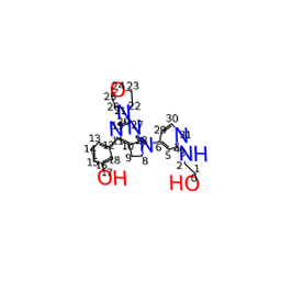 OCCNc1cc(N2CCc3c(-c4cccc(O)c4)nc(N4CCOCC4)nc32)ccn1